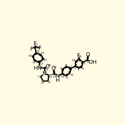 O=C(O)c1ccc(-c2ccc(NC(=O)[C@H]3CCCN3C(=O)Nc3ccc(C(F)(F)F)cc3)cc2)cc1F